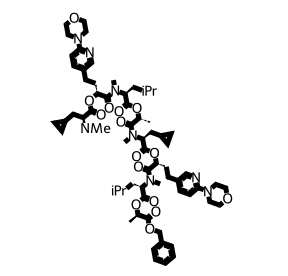 CN[C@@H](CC1CC1)C(=O)O[C@H](CCc1ccc(N2CCOCC2)nc1)C(=O)N(C)[C@@H](CC(C)C)C(=O)O[C@H](C)C(=O)N(C)[C@@H](CC1CC1)C(=O)O[C@H](CCc1ccc(N2CCOCC2)nc1)C(=O)N(C)[C@@H](CC(C)C)C(=O)O[C@H](C)C(=O)OCc1ccccc1